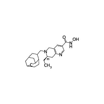 CC[C@@H]1Cc2ncc(C(=O)NO)cc2CN1CC1CC2CC3CCC1C(C3)C2